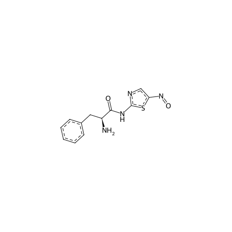 N[C@@H](Cc1ccccc1)C(=O)Nc1ncc(N=O)s1